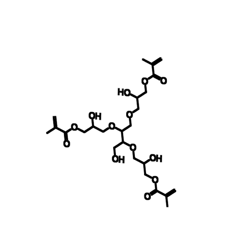 C=C(C)C(=O)OCC(O)COCC(OCC(O)COC(=O)C(=C)C)C(CO)OCC(O)COC(=O)C(=C)C